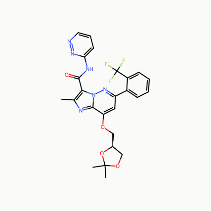 Cc1nc2c(OC[C@H]3COC(C)(C)O3)cc(-c3ccccc3C(F)(F)F)nn2c1C(=O)Nc1cccnn1